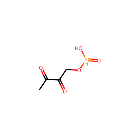 CC(=O)C(=O)CO[PH](=O)O